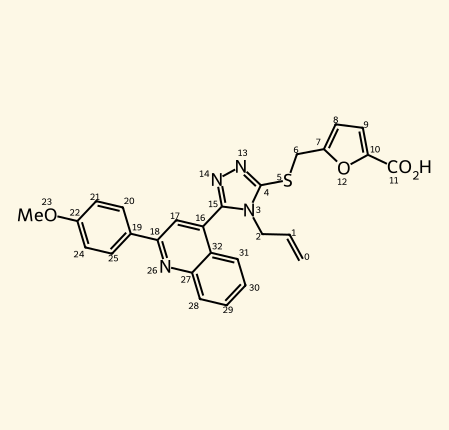 C=CCn1c(SCc2ccc(C(=O)O)o2)nnc1-c1cc(-c2ccc(OC)cc2)nc2ccccc12